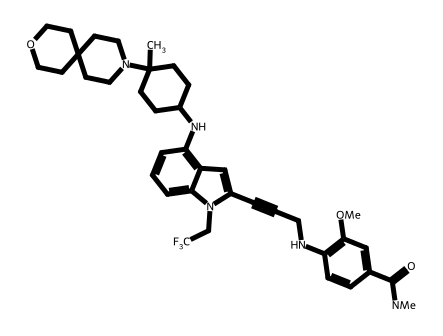 CNC(=O)c1ccc(NCC#Cc2cc3c(NC4CCC(C)(N5CCC6(CCOCC6)CC5)CC4)cccc3n2CC(F)(F)F)c(OC)c1